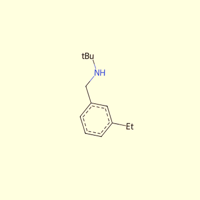 CCc1cccc(CNC(C)(C)C)c1